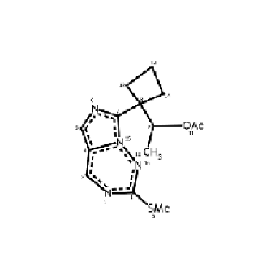 CSc1ncc2cnc(C3(C(C)OC(C)=O)CCC3)n2n1